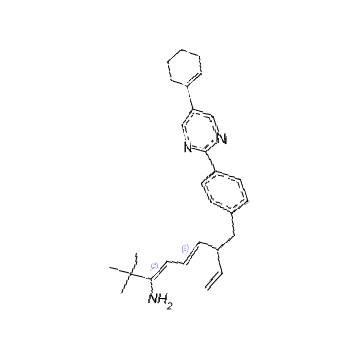 C=CC(/C=C/C=C(\N)C(C)(C)C)Cc1ccc(-c2ncc(C3=CCCCC3)cn2)cc1